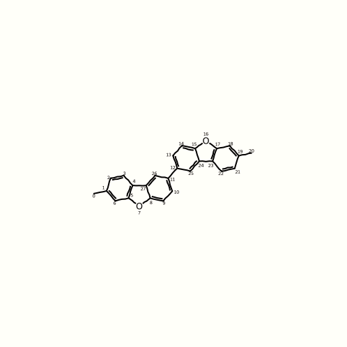 Cc1ccc2c(c1)oc1ccc(-c3ccc4oc5cc(C)ccc5c4c3)cc12